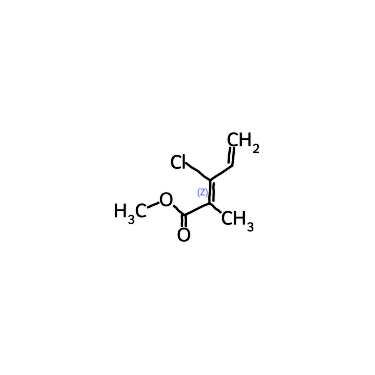 C=C/C(Cl)=C(\C)C(=O)OC